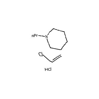 C=CCl.CCCN1CCCCC1.Cl